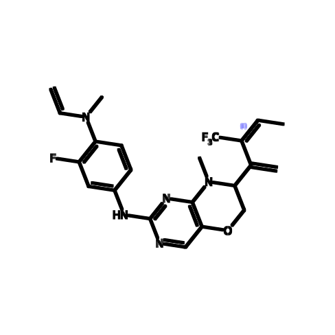 C=CN(C)c1ccc(Nc2ncc3c(n2)N(C)C(C(=C)/C(=C\C)C(F)(F)F)CO3)cc1F